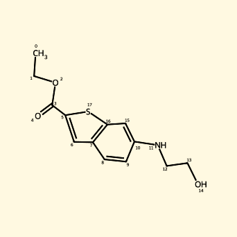 CCOC(=O)c1cc2ccc(NCCO)cc2s1